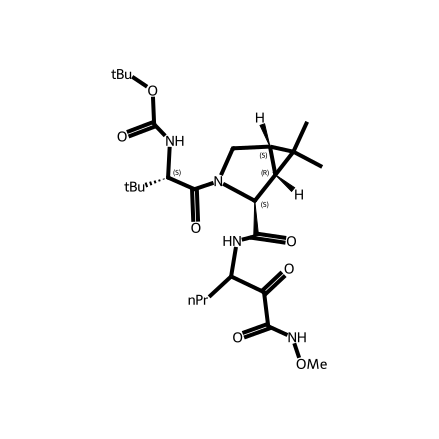 CCCC(NC(=O)[C@@H]1[C@@H]2[C@H](CN1C(=O)[C@@H](NC(=O)OC(C)(C)C)C(C)(C)C)C2(C)C)C(=O)C(=O)NOC